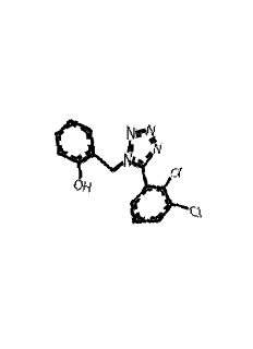 Oc1ccccc1Cn1nnnc1-c1cccc(Cl)c1Cl